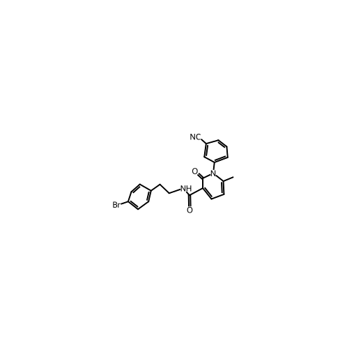 Cc1ccc(C(=O)NCCc2ccc(Br)cc2)c(=O)n1-c1cccc(C#N)c1